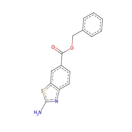 Nc1nc2ccc(C(=O)OCc3ccccc3)cc2s1